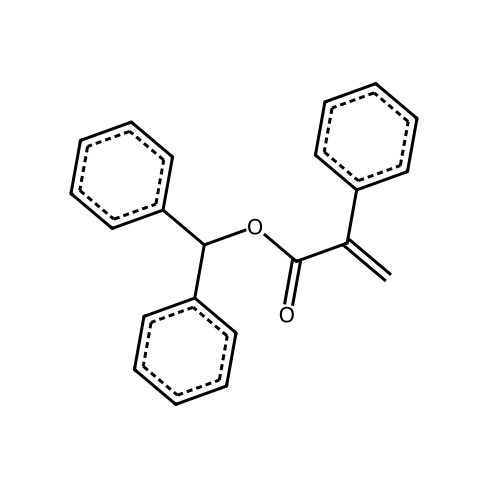 C=C(C(=O)OC(c1ccccc1)c1ccccc1)c1ccccc1